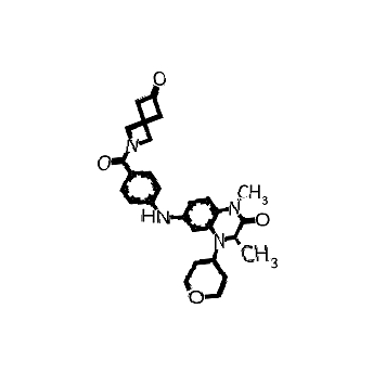 C[C@@H]1C(=O)N(C)c2ccc(Nc3ccc(C(=O)N4CC5(CC(=O)C5)C4)cc3)cc2N1C1CCOCC1